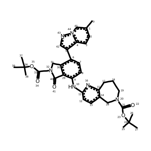 Cc1ccc2c(-c3ccc(Nc4ccc5c(n4)CCCN(C(=O)OC(C)(C)C)C5)c4c3CN(C(=O)OC(C)(C)C)C4=O)cnn2c1